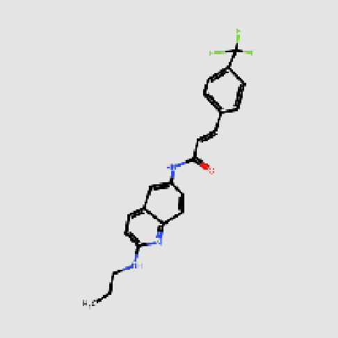 CCCNc1ccc2cc(NC(=O)C=Cc3ccc(C(F)(F)F)cc3)ccc2n1